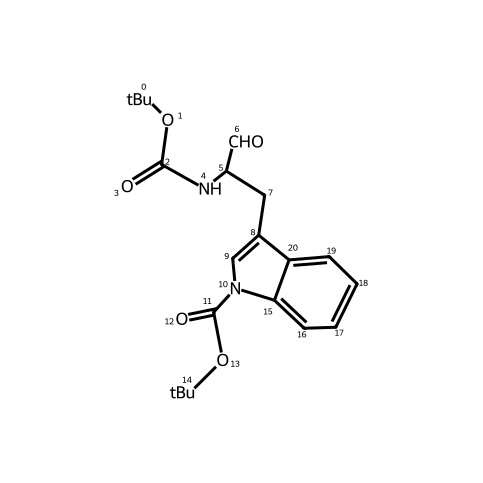 CC(C)(C)OC(=O)NC(C=O)Cc1cn(C(=O)OC(C)(C)C)c2ccccc12